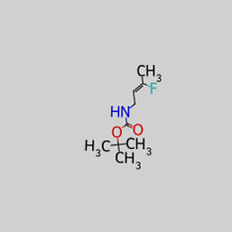 CC(F)=CCNC(=O)OC(C)(C)C